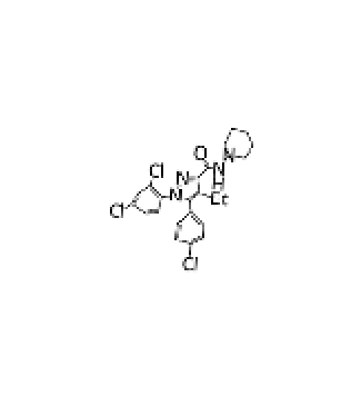 CCc1c(C(=O)NN2CCCCC2)nn(-c2ccc(Cl)cc2Cl)c1-c1ccc(Cl)cc1